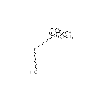 CCCCCCCC/C=C\CCCCCCCC(=O)O[C@@H]1[C@@H](O)CO[C@@H]1[C@@]1(CO)OCC1C